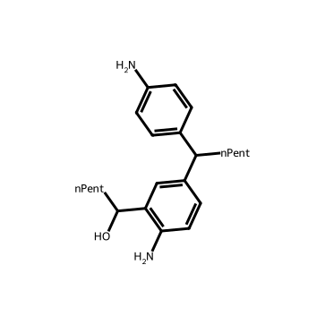 CCCCCC(O)c1cc(C(CCCCC)c2ccc(N)cc2)ccc1N